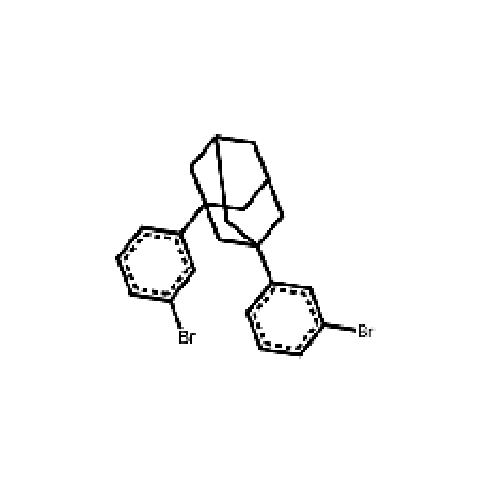 Brc1cccc(C23CC4CC(C2)CC(c2cccc(Br)c2)(C4)C3)c1